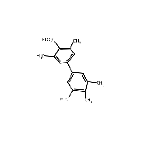 CCOC(=O)c1c(C)cc(-c2cc(C)c(C)c(C)c2)cc1C